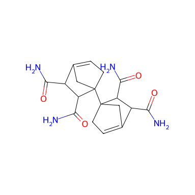 NC(=O)C1C2=CCC(C34CC=C(C3)C(C(N)=O)C4C(N)=O)(C2)C1C(N)=O